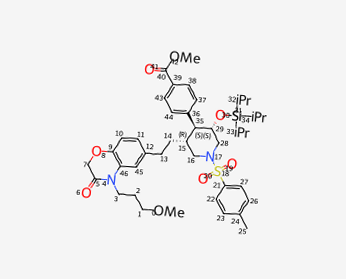 COCCCN1C(=O)COc2ccc(CC[C@H]3CN(S(=O)(=O)c4ccc(C)cc4)C[C@@H](O[Si](C(C)C)(C(C)C)C(C)C)[C@@H]3c3ccc(C(=O)OC)cc3)cc21